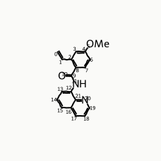 C=Cc1cc(OC)ccc1C(=O)Nc1cccc2cccnc12